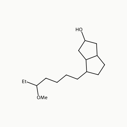 CCC(CCCCC1CCC2CC(O)CC12)OC